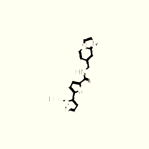 Cn1nccc1-c1ccc(C(=O)NCc2ccn3ccnc3c2)s1